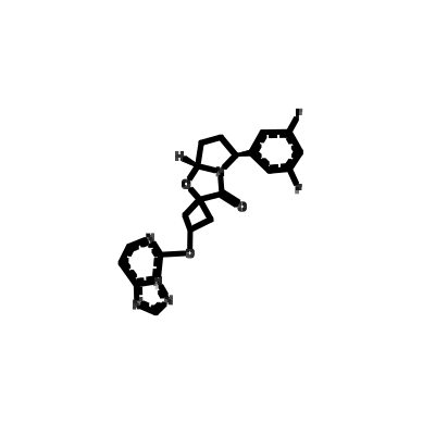 O=C1N2[C@@H](CC[C@H]2c2cc(F)cc(F)c2)OC12CC(Oc1nccc3ncnn13)C2